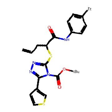 C=CCC(Sc1nnc(-c2ccsc2)n1C(=O)OC(C)(C)C)C(=O)Nc1ccc(CC)cc1